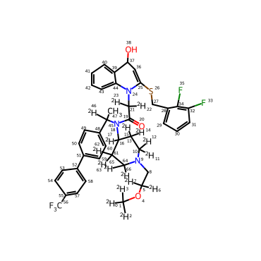 [2H]C([2H])([2H])OC([2H])([2H])CN1C([2H])([2H])C([2H])([2H])C([2H])(N(C(=O)C([2H])([2H])N2C(SCc3cccc(F)c3F)=CC(O)c3ccccc32)C([2H])(C)c2ccc(-c3ccc(C(F)(F)F)cc3)cc2)C([2H])([2H])C1([2H])[2H]